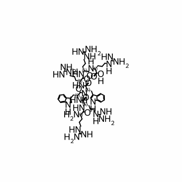 N=C(N)NCCC[C@H](NC(=O)[C@H](CCCNC(=N)N)NC(=O)[C@H](CCCNC(=N)N)NC(=O)[C@H](Cc1c[nH]c2ccccc12)NC(=O)[C@H](Cc1c[nH]c2ccccc12)NC(=O)[C@H](CCCNC(=N)N)NC(=O)[C@@H](N)CCCNC(=N)N)C(=O)O